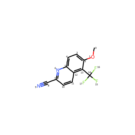 COc1ccc2nc(C#N)ccc2c1C(F)(F)F